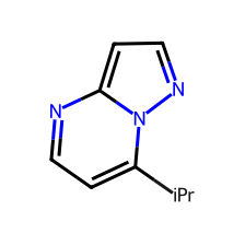 CC(C)c1ccnc2ccnn12